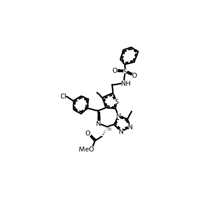 COC(=O)C[C@@H]1N=C(c2ccc(Cl)cc2)c2c(sc(CNS(=O)(=O)c3ccccc3)c2C)-n2c(C)nnc21